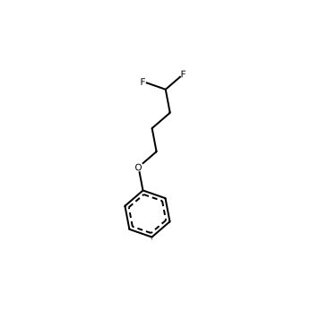 FC(F)CCCOc1cc[c]cc1